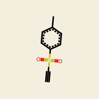 C#CS(=O)(=O)c1ccc(C)cc1